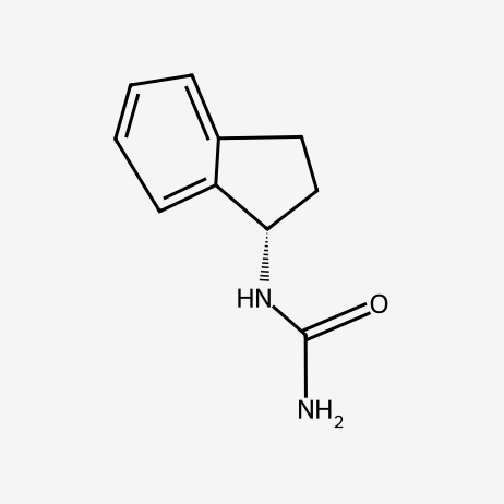 NC(=O)N[C@H]1CCc2ccccc21